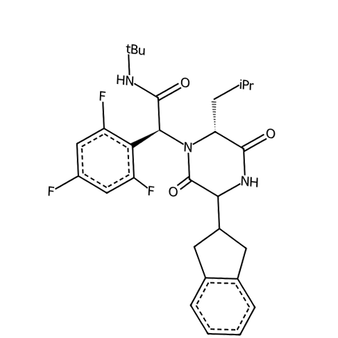 CC(C)C[C@@H]1C(=O)NC(C2Cc3ccccc3C2)C(=O)N1[C@H](C(=O)NC(C)(C)C)c1c(F)cc(F)cc1F